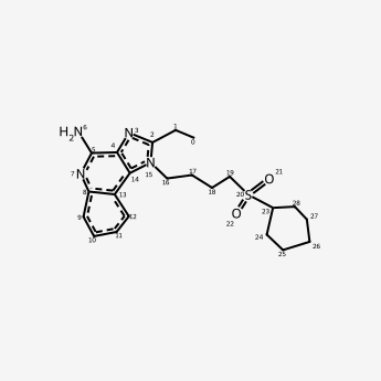 CCc1nc2c(N)nc3ccccc3c2n1CCCCS(=O)(=O)C1CCCCC1